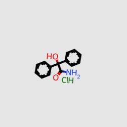 Cl.NC(=O)C(O)(c1ccccc1)c1ccccc1